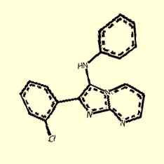 Clc1ccccc1-c1nc2ncccn2c1Nc1ccccc1